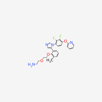 Cc1cccc(-c2cncn2-c2ccc(Oc3ccccn3)c(F)c2F)c1OCCOCCN